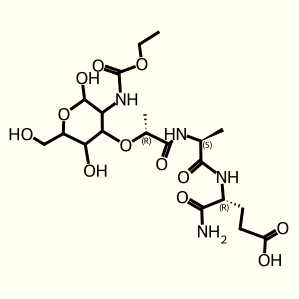 CCOC(=O)NC1C(O)OC(CO)C(O)C1O[C@H](C)C(=O)N[C@@H](C)C(=O)N[C@H](CCC(=O)O)C(N)=O